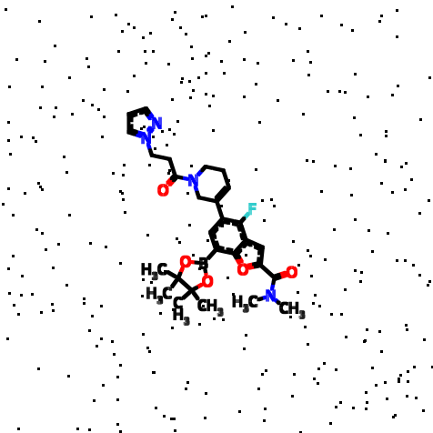 CN(C)C(=O)c1cc2c(F)c(C3=CCCN(C(=O)CCn4cccn4)C3)cc(B3OC(C)(C)C(C)(C)O3)c2o1